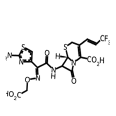 Nc1nc(C(=NOCC(=O)O)C(=O)NC2C(=O)N3C(C(=O)O)=C(C=CC(F)(F)F)CS[C@@H]23)cs1